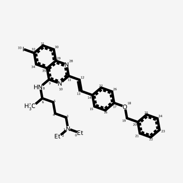 CCN(CC)CCCC(C)Nc1nc(/C=C/c2ccc(OCc3ccccc3)cc2)nc2ccc(I)cc12